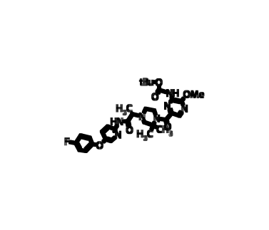 COc1ncc(C(=O)N2CCN([C@@H](C)C(=O)Nc3ccc(Oc4ccc(F)cc4)cn3)CC2(C)C)nc1NC(=O)OC(C)(C)C